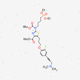 CCOP(=O)(CCCCN(C(=O)OC(C)(C)C)c1nc(C(=O)OC)c(CCCOc2ccc(C#CCN(C)C)cc2F)s1)OCC